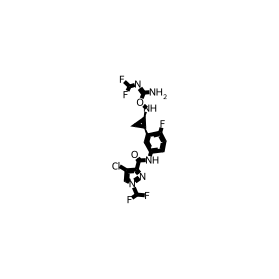 N/C(=N/C(F)F)ON[C@@H]1C[C@@H]1c1cc(NC(=O)c2nn(C(F)F)cc2Cl)ccc1F